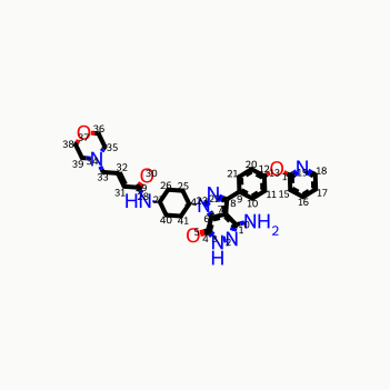 Nc1n[nH]c(=O)c2c1c(-c1ccc(Oc3ccccn3)cc1)nn2[C@H]1CC[C@@H](NC(=O)/C=C/CN2CCOCC2)CC1